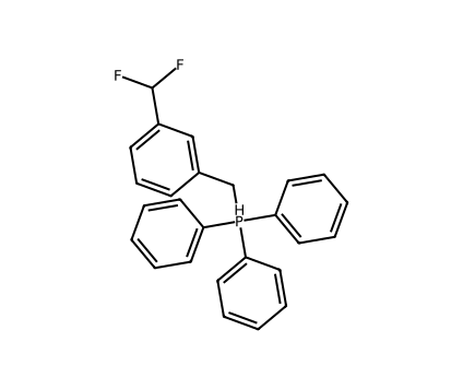 FC(F)c1cccc(C[PH](c2ccccc2)(c2ccccc2)c2ccccc2)c1